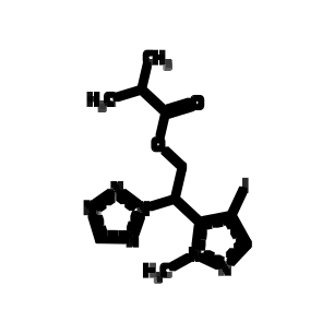 CC(C)C(=O)OCC(c1c(I)cnn1C)n1ncnn1